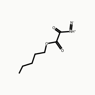 CCCCCOC(=O)C(=O)[NH+]=[N-]